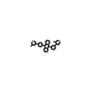 Cc1cncc(-c2ccc(-c3c4ccccc4c(-c4cccc(-c5ccncc5C)c4)c4ccccc34)cc2)c1